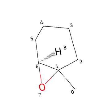 CC12CCCC[C@@H]1O2